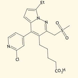 CCc1ccc2c(-c3ccnc(Cl)c3)c(CCCCC(=O)O)c(CS(C)(=O)=O)nn12